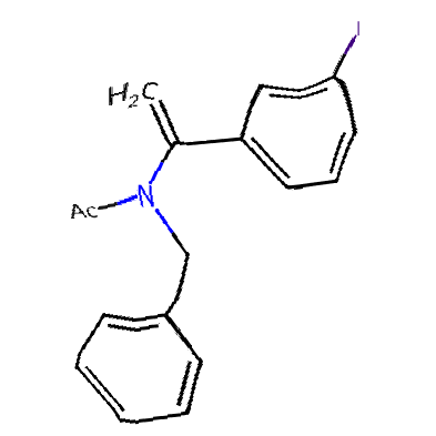 C=C(c1cccc(I)c1)N(Cc1ccccc1)C(C)=O